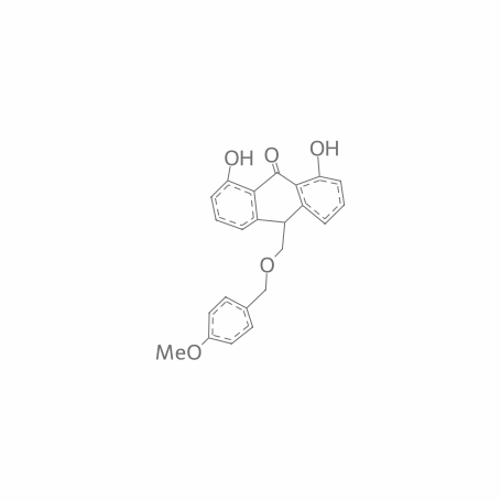 COc1ccc(COCC2c3cccc(O)c3C(=O)c3c(O)cccc32)cc1